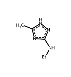 CCNc1n[nH]c(C)n1